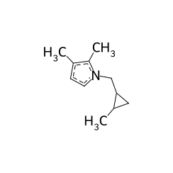 Cc1ccn(CC2CC2C)c1C